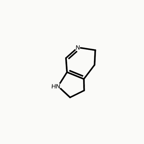 C1=NCCC2=C1NCC2